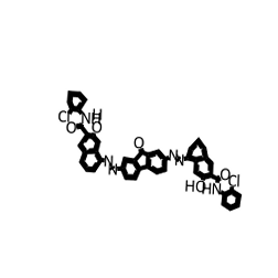 O=C(Nc1ccccc1Cl)c1cc2cccc(N=Nc3ccc4c(c3)C(=O)c3cc(N=Nc5cccc6cc(C(=O)Nc7ccccc7Cl)c(O)cc56)ccc3-4)c2cc1O